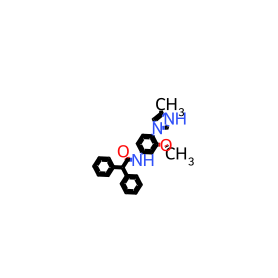 COc1cc(NC(=O)C(c2ccccc2)c2ccccc2)ccc1N1C=C(C)NC1